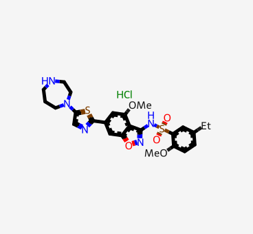 CCc1ccc(OC)c(S(=O)(=O)Nc2noc3cc(-c4ncc(N5CCCNCC5)s4)cc(OC)c23)c1.Cl